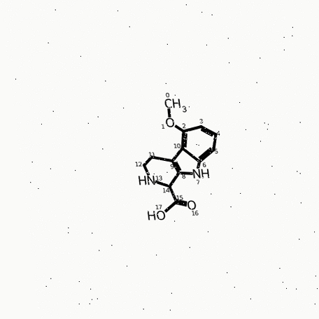 COc1cccc2[nH]c3c(c12)CCNC3C(=O)O